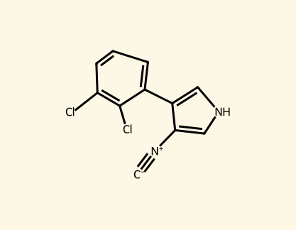 [C-]#[N+]c1c[nH]cc1-c1cccc(Cl)c1Cl